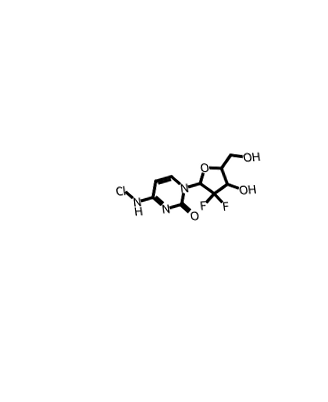 O=c1nc(NCl)ccn1C1OC(CO)C(O)C1(F)F